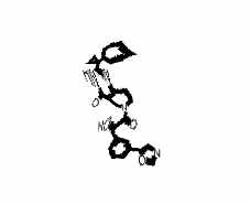 O=C(C(O)c1cccc(-c2cnco2)c1)N1CCc2nc(C3(c4ccccc4)CC3)[nH]c(=O)c2C1